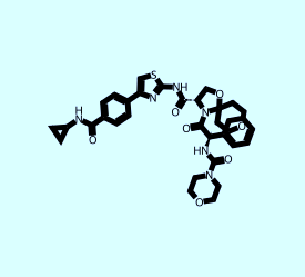 O=C(NC1CC1)c1ccc(-c2csc(NC(=O)[C@@H]3COC4(CCOCC4)N3C(=O)[C@H](NC(=O)N3CCOCC3)C3=CC=CCC3)n2)cc1